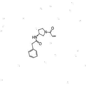 C=CC(=O)N1CC[C@H](NC(=O)Cc2ccccc2)C1